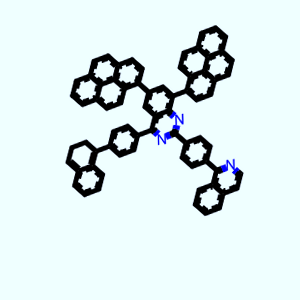 C1=c2ccccc2=C(c2ccc(-c3nc(-c4ccc(-c5nccc6ccccc56)cc4)nc4c(-c5ccc6ccc7cccc8ccc5c6c78)cc(-c5ccc6ccc7cccc8ccc5c6c78)cc34)cc2)CC1